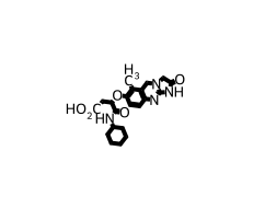 Cc1c(OC(CC(=O)O)C(=O)NC2CCCCC2)ccc2c1CN1CC(=O)NC1=N2